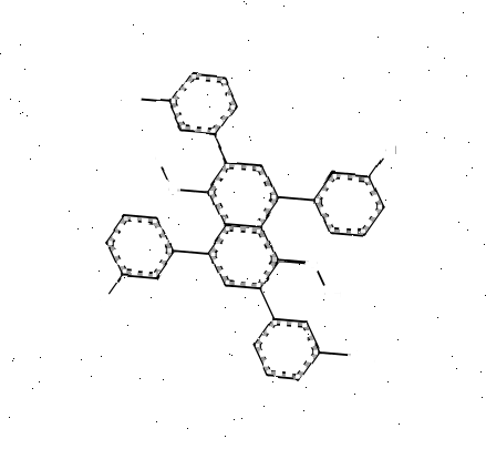 COc1c(-c2cccc(C)c2)cc(-c2cccc(C)c2)c2c(OC)c(-c3cccc(C)c3)cc(-c3cccc(C)c3)c12